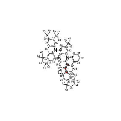 Cc1cc2c(cc1N1c3cc4c(cc3B3c5cc6oc7cc8c(cc7c6cc5N(c5ccccc5-c5ccccc5)c5cc(C(C)(C)C)cc1c53)C(C)(C)CCC8(C)C)C(C)(C)CC4(C)C)C(C)(C)CCC2(C)C